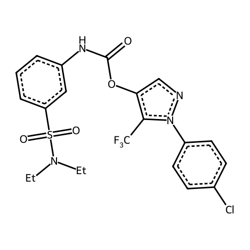 CCN(CC)S(=O)(=O)c1cccc(NC(=O)Oc2cnn(-c3ccc(Cl)cc3)c2C(F)(F)F)c1